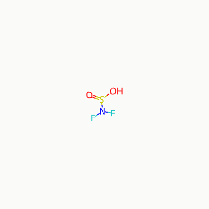 O=S(O)N(F)F